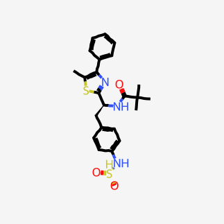 Cc1sc([C@H](Cc2ccc(N[SH](=O)=O)cc2)NC(=O)C(C)(C)C)nc1-c1ccccc1